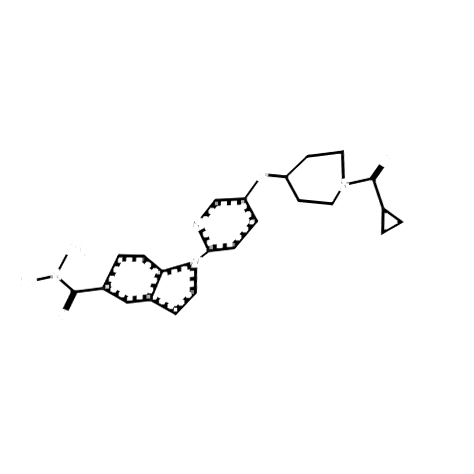 CN(C)C(=O)c1ccc2c(ccn2-c2ccc(OC3CCN(C(=O)C4CC4)CC3)cn2)c1